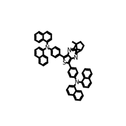 CC12CCC(c3nc4c(-c5ccc(N(c6cccc7ccccc67)c6cccc7ccccc67)cc5)sc(-c5ccc(N(c6cccc7ccccc67)c6cccc7ccccc67)cc5)c4nc31)C2(C)C